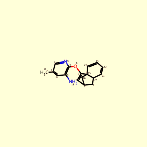 Cc1cnc(OC2=CC3CC4C=CC=CC24C3)c(N)c1